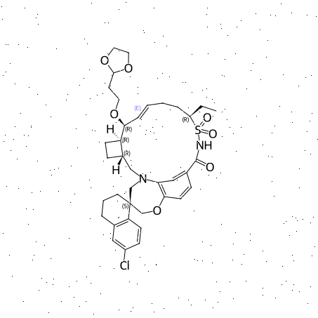 CC[C@@H]1CC/C=C/[C@H](OCCC2OCCO2)[C@@H]2CC[C@H]2CN2C[C@@]3(CCCc4cc(Cl)ccc43)COc3ccc(cc32)C(=O)NS1(=O)=O